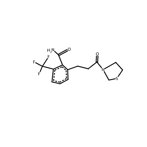 NC(=O)c1c(C[CH]C(=O)N2CCSC2)cccc1C(F)(F)F